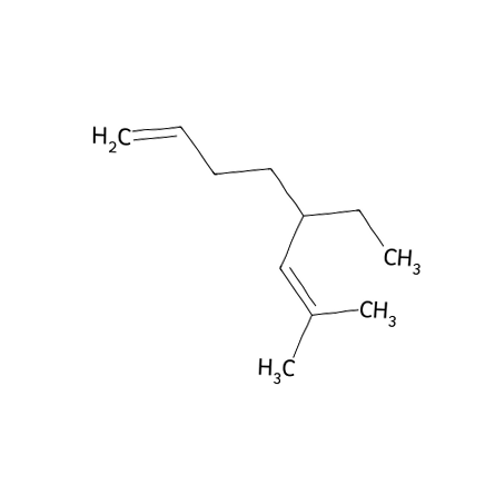 C=CCCC(C=C(C)C)CC